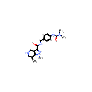 CC1CNCc2c(C(=O)NCc3ccc(NC(=O)N(C)C)cc3)nn(C(C)C)c21